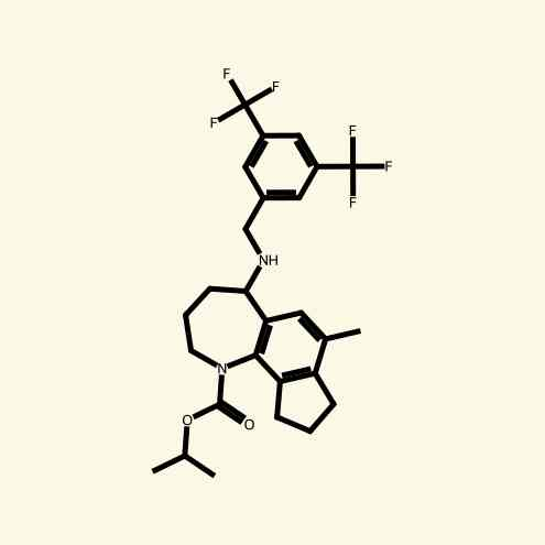 Cc1cc2c(c3c1CCC3)N(C(=O)OC(C)C)CCCC2NCc1cc(C(F)(F)F)cc(C(F)(F)F)c1